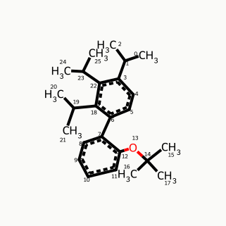 CC(C)c1ccc(-c2ccccc2OC(C)(C)C)c(C(C)C)c1C(C)C